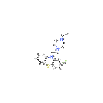 CCN1CCN(CCN2c3ccccc3Sc3ccc(F)cc32)CC1